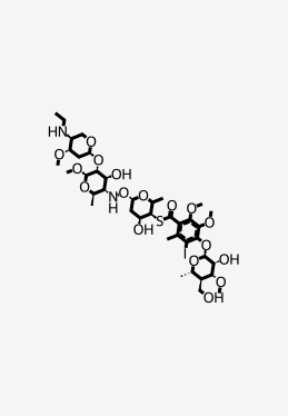 CCN[C@H]1CO[C@@H](O[C@H]2[C@H](OC)O[C@H](C)[C@@H](NO[C@H]3C[C@H](O)[C@H](SC(=O)c4c(C)c(I)c(O[C@@H]5O[C@@H](C)[C@H](CO)[C@@H](OC)[C@H]5O)c(OC)c4OC)C(C)O3)[C@@H]2O)C[C@@H]1OC